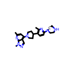 Cc1cc(N2CCC(c3ccc(N4CCNCC4)nc3C)CC2)c2cnn(C)c2n1